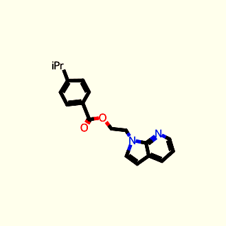 CC(C)c1ccc(C(=O)OCCn2ccc3cccnc32)cc1